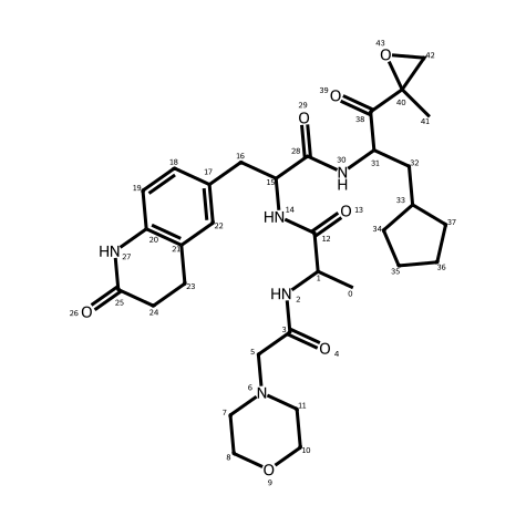 CC(NC(=O)CN1CCOCC1)C(=O)NC(Cc1ccc2c(c1)CCC(=O)N2)C(=O)NC(CC1CCCC1)C(=O)C1(C)CO1